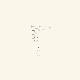 O=C(CN1CCOCC1)NCc1ccc(C(=O)Nc2ccc(Cl)cc2N2CCN(CCC(F)(F)F)CC2)c(F)c1F